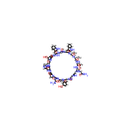 CCCC[C@H]1C(=O)N(C)[C@@H](CCCC)C(=O)N[C@@H](CC(C)C)C(=O)N[C@H](C(=O)NCC(N)=O)CCCNCC(=O)N[C@@H](Cc2ccc(O)cc2)C(=O)N(C)[C@@H](C)C(=O)N[C@@H](CC(N)=O)C(=O)N2CCC[C@H]2C(=O)N[C@@H](Cc2cnc[nH]2)C(=O)N[C@@H](CC(C)C)C(=O)N2C[C@H](O)C[C@H]2C(=O)N[C@@H](Cc2c[nH]c3ccccc23)C(=O)NCC(=O)N[C@@H](Cc2c[nH]c3ccccc23)C(=O)N1C